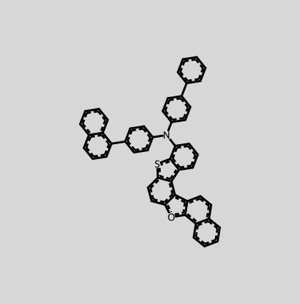 c1ccc(-c2ccc(N(c3ccc(-c4cccc5ccccc45)cc3)c3cccc4c3sc3ccc5oc6c7ccccc7ccc6c5c34)cc2)cc1